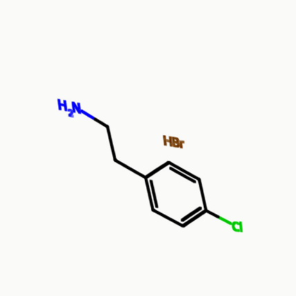 Br.NCCc1ccc(Cl)cc1